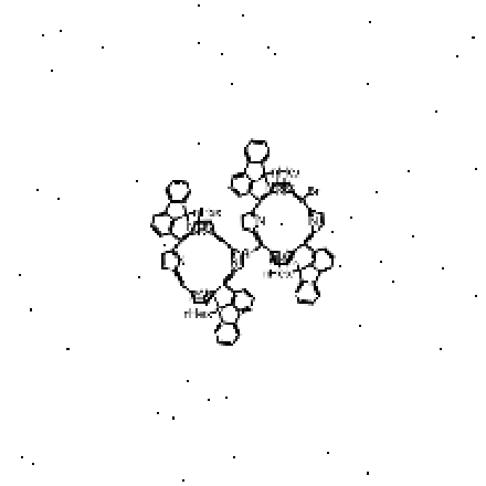 CCCCCCC1(CCCCCC)c2ccccc2-c2cccc(-c3c4nc(c(Br)c5ccc([nH]5)c(-c5cccc6c5C(CCCCCC)(CCCCCC)c5ccccc5-6)c5nc(c(Br)c6ccc3[nH]6)C=C5)C=C4)c21.CCCCCCC1(CCCCCC)c2ccccc2-c2cccc(-c3c4nc(cc5ccc([nH]5)c(-c5cccc6c5C(CCCCCC)(CCCCCC)c5ccccc5-6)c5nc(cc6ccc3[nH]6)C=C5)C=C4)c21